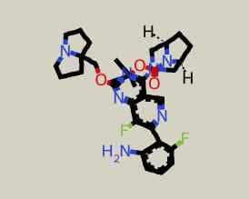 CC(C)(C)OC(=O)N1[C@@H]2CC[C@H]1CN(c1nc(OCC34CCCN3CCC4)nc3c(F)c(-c4c(N)cccc4F)ncc13)C2